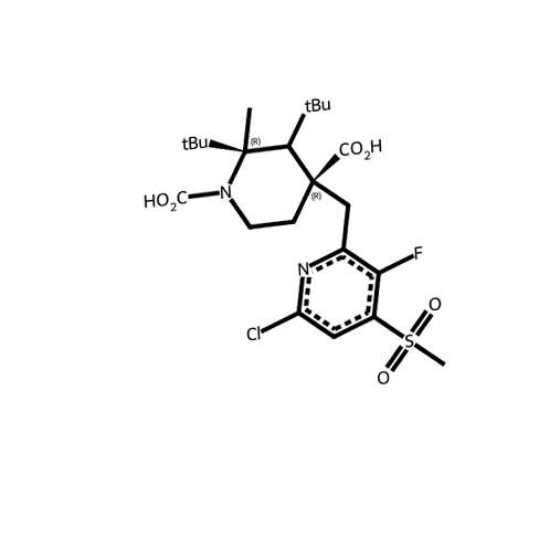 CC(C)(C)C1[C@@](Cc2nc(Cl)cc(S(C)(=O)=O)c2F)(C(=O)O)CCN(C(=O)O)[C@@]1(C)C(C)(C)C